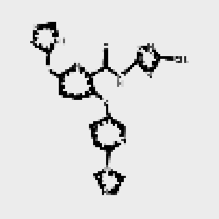 Cc1nsc(NC(=O)c2nc(Sc3nnc[nH]3)ccc2Sc2ccc(-n3ccnc3)nc2)n1